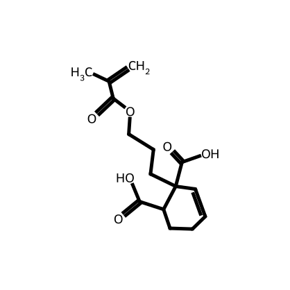 C=C(C)C(=O)OCCCC1(C(=O)O)C=CCCC1C(=O)O